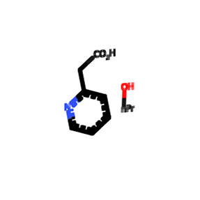 CCCO.O=C(O)Cc1ccccn1